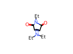 CCN1C(=O)C=CC1=O.CCNCC